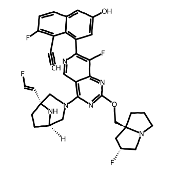 C#Cc1c(F)ccc2cc(O)cc(-c3ncc4c(N5C[C@H]6CC[C@@](/C=C/F)(C5)N6)nc(OC[C@@]56CCCN5C[C@H](F)C6)nc4c3F)c12